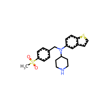 CS(=O)(=O)c1ccc(CN(c2ccc3sccc3c2)C2CCNCC2)cc1